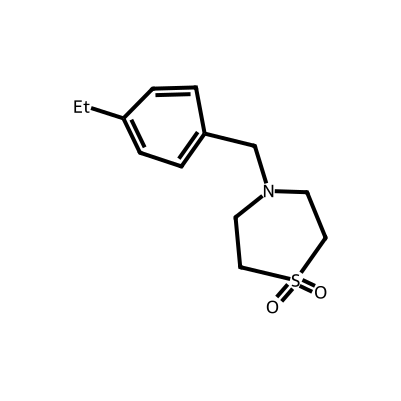 CCc1ccc(CN2CCS(=O)(=O)CC2)cc1